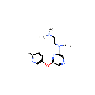 CC(=O)N(C)CCN(C)c1cncc(Oc2ccc(C)nc2)n1